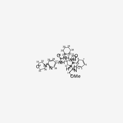 COC[C@@H]1Nc2ccccc2[C@H]2[C@H]1CCN2C(=O)[C@H]1CCCC[C@H]1NC(=O)Nc1ccc(N2CCOCC2)nc1